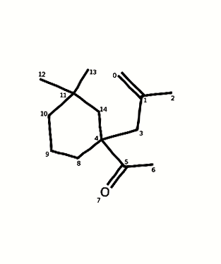 C=C(C)CC1(C(C)=O)CCCC(C)(C)C1